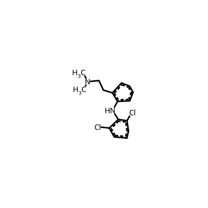 CN(C)CCc1ccccc1Nc1c(Cl)cccc1Cl